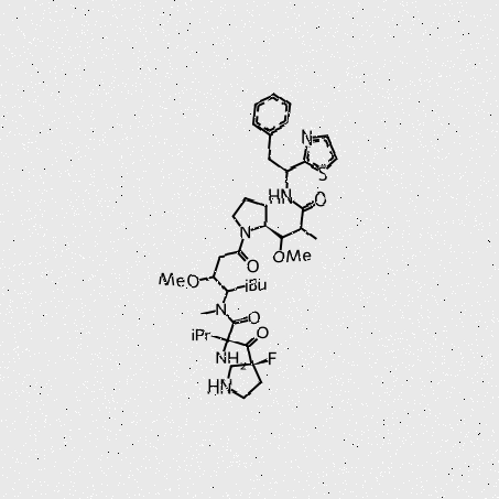 CCC(C)C(C(CC(=O)N1CCC[C@H]1C(OC)C(C)C(=O)NC(Cc1ccccc1)c1nccs1)OC)N(C)C(=O)C(N)(C(=O)[C@]1(F)CCNC1)C(C)C